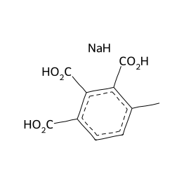 Cc1ccc(C(=O)O)c(C(=O)O)c1C(=O)O.[NaH]